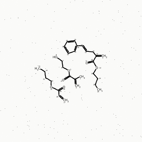 C=C(C)C(=O)OCCO.C=C(CC=Cc1ccccc1)C(=O)OCCCC.C=CC(=O)OCCCC